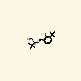 CC(C)(C)c1cccc(/C=N/[C@H](CO)C(C)(C)C)c1O